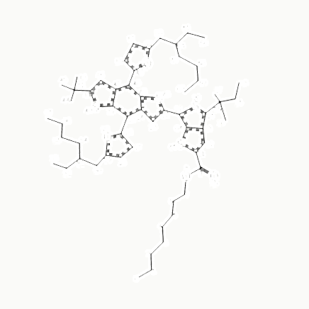 CCCCCCCCOC(=O)c1cc2c(C(C)(C)CC)sc(-c3cc4c(-c5ccc(CC(CC)CCCC)o5)c5sc(C(C)(C)C)cc5c(-c5ccc(CC(CC)CCCC)o5)c4s3)c2s1